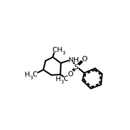 CC1CC(C)C(NS(=O)(=O)c2ccccc2)C(C)C1